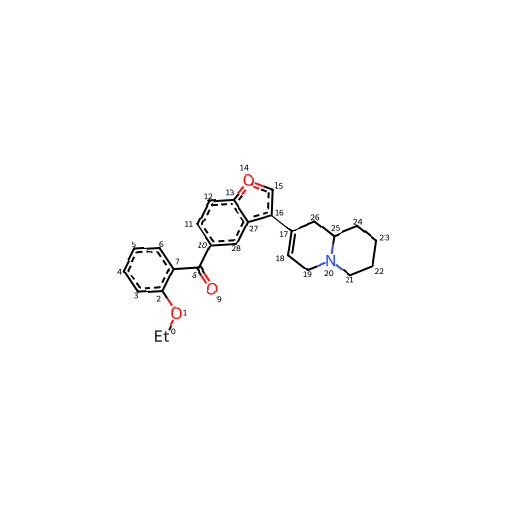 CCOc1ccccc1C(=O)c1ccc2occ(C3=CCN4CCCCC4C3)c2c1